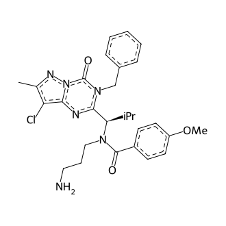 COc1ccc(C(=O)N(CCCN)[C@@H](c2nc3c(Cl)c(C)nn3c(=O)n2Cc2ccccc2)C(C)C)cc1